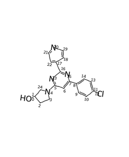 OC1CCN(c2cc(-c3ccc(Cl)cc3)nc(-c3ccncc3)n2)C1